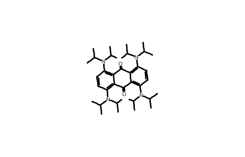 CC(C)N(c1ccc(N(C(C)C)C(C)C)c2c1C(=O)c1c(N(C(C)C)C(C)C)ccc(N(C(C)C)C(C)C)c1C2=O)C(C)C